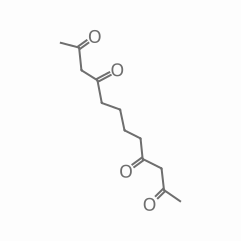 CC(=O)CC(=O)CCCCC(=O)CC(C)=O